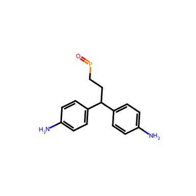 Nc1ccc(C(CCP=O)c2ccc(N)cc2)cc1